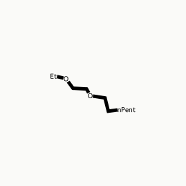 [CH2]COCCOCCCCCCC